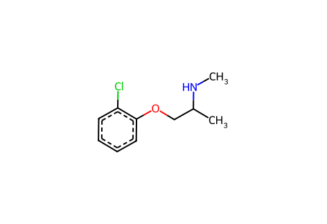 CNC(C)COc1ccccc1Cl